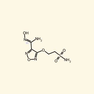 N/C(=N\O)c1nonc1OCCS(N)(=O)=O